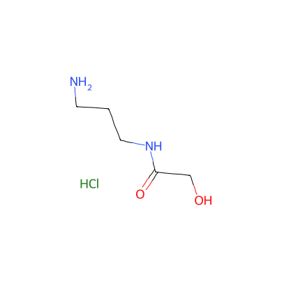 Cl.NCCCNC(=O)CO